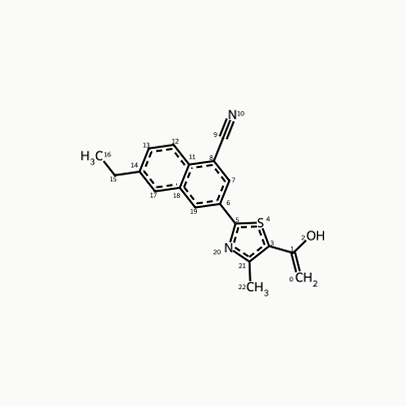 C=C(O)c1sc(-c2cc(C#N)c3ccc(CC)cc3c2)nc1C